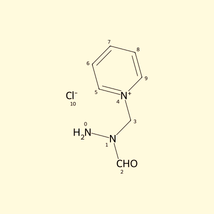 NN(C=O)C[n+]1ccccc1.[Cl-]